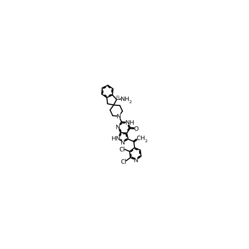 C=C(c1ccnc(Cl)c1Cl)c1n[nH]c2nc(N3CCC4(CC3)Cc3ccccc3[C@H]4N)[nH]c(=O)c12